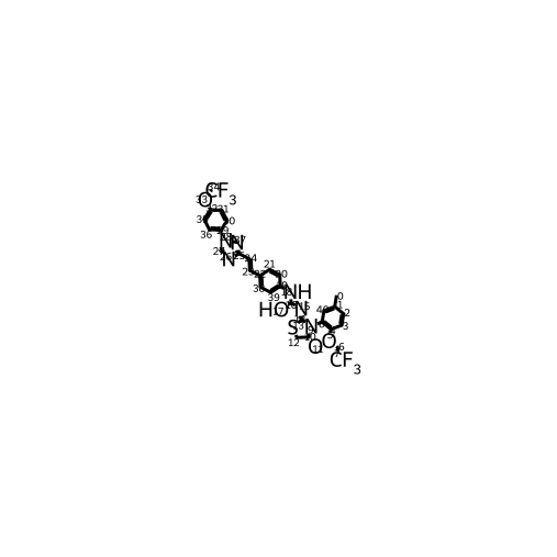 Cc1ccc(OCC(F)(F)F)c(N2C(=O)CS/C2=N\C(O)Nc2ccc(/C=C/c3ncn(-c4ccc(OC(F)(F)F)cc4)n3)cc2)c1